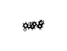 C[C@]12C=CC3=CC4=C(CCCC4=O)O[C@H]3[C@@H]1CC[C@@H]2c1cccc2cnccc12